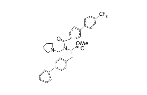 COC(=O)[C@H](Cc1ccc(-c2ccccc2)cc1)N(CN1CCCC1)C(=O)c1ccc(-c2ccc(C(F)(F)F)cc2)cc1